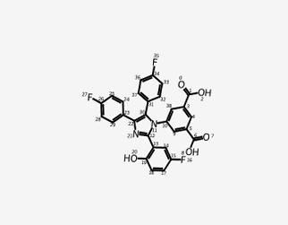 O=C(O)c1cc(C(=O)O)cc(-n2c(-c3cc(F)ccc3O)nc(-c3ccc(F)cc3)c2-c2ccc(F)cc2)c1